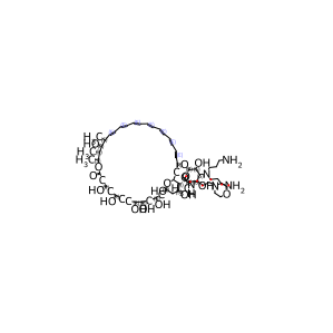 C[C@@H]1[C@H](O)[C@@H](C)/C=C/C=C/C=C/C=C/C=C/C=C/C=C/[C@H](O[C@@H]2O[C@H](C)[C@@H](O)[C@H](N(CCCN)CCCN)[C@@H]2O)CC2O[C@](O)(C[C@@H](O)C[C@@H](O)[C@H](O)CC[C@@H](O)C[C@@H](O)CC(=O)O[C@H]1C)C[C@H](O)[C@H]2C(=O)NCCCN1CCOCC1